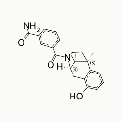 CC1(C)[C@H]2Cc3c(O)cccc3[C@]1(C)CCN2C(=O)c1cccc(C(N)=O)c1